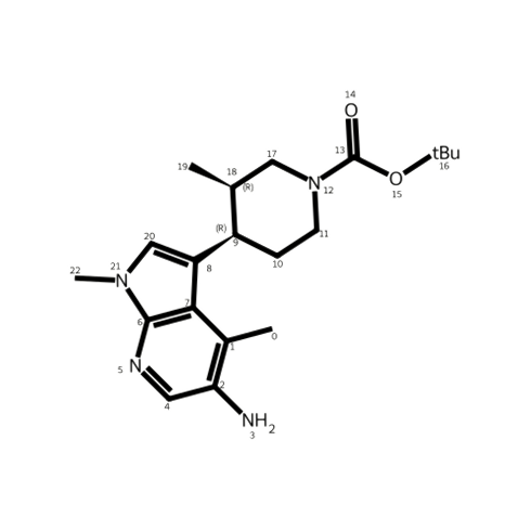 Cc1c(N)cnc2c1c([C@@H]1CCN(C(=O)OC(C)(C)C)C[C@@H]1C)cn2C